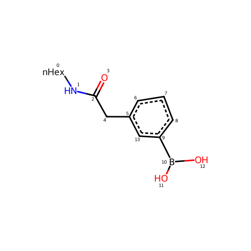 CCCCCCNC(=O)Cc1cccc(B(O)O)c1